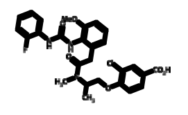 COc1cccc(CC(=O)N(C)C(C)COc2ccc(C(=O)O)cc2Cl)c1NC(=O)Nc1ccccc1F